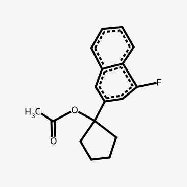 CC(=O)OC1(c2cc(F)c3ccccc3c2)CCCC1